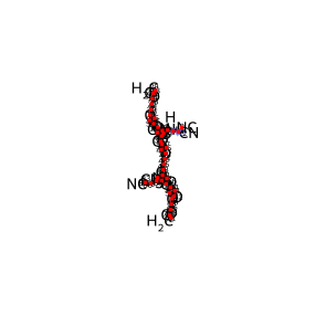 [C-]#[N+]/C(C#N)=C\C=C\Nc1nc2c(OC(=O)c3ccc(OCCCCCCOC(=O)C=C)cc3)ccc(OC(=O)c3ccc(OCCCCCCOc4ccc(OC(=O)C5CCC(C(=O)OCCCCOC(=O)C=C)CC5)c5sc(C#CC=C(C#N)C#N)nc45)cc3)c2s1